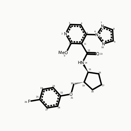 COc1nccc(-n2nccn2)c1C(=O)N[C@H]1CCC[C@@H]1COc1ccc(F)cc1